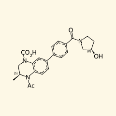 CC(=O)N1c2ccc(-c3ccc(C(=O)N4CC[C@@H](O)C4)cc3)cc2N(C(=O)O)C[C@@H]1C